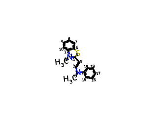 CN(C=CC1Sc2ccccc2N1C)c1ccccc1